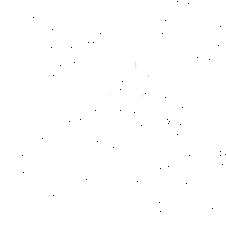 FC(F)(I)/C(=C/Sc1ccccc1)c1ccc(Cl)cc1